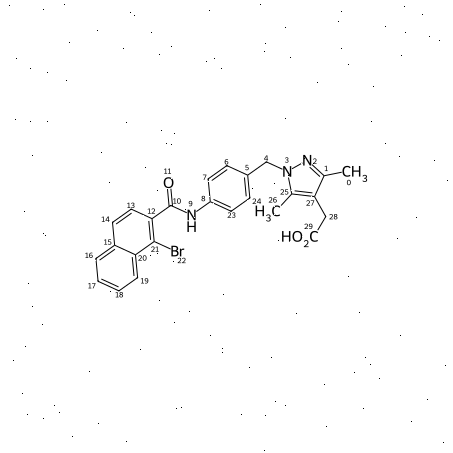 Cc1nn(Cc2ccc(NC(=O)c3ccc4ccccc4c3Br)cc2)c(C)c1CC(=O)O